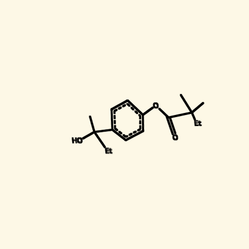 CCC(C)(C)C(=O)Oc1ccc(C(C)(O)CC)cc1